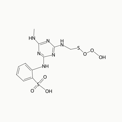 CNc1nc(NCSOOO)nc(Nc2ccccc2S(=O)(=O)O)n1